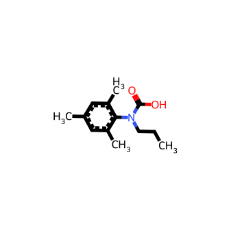 CCCN(C(=O)O)c1c(C)cc(C)cc1C